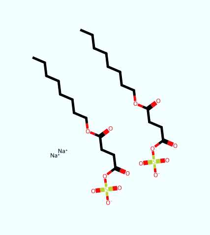 CCCCCCCCOC(=O)CCC(=O)OS(=O)(=O)[O-].CCCCCCCCOC(=O)CCC(=O)OS(=O)(=O)[O-].[Na+].[Na+]